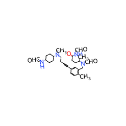 Cc1ccc(C#CCCN(C)[C@H]2CC[C@@H](NC=O)CC2)cc1CN(C=O)C(C)CCC(=O)NC=O